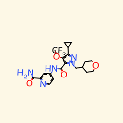 NC(=O)c1cc(NC(=O)c2c(OC(F)(F)F)c(C3CC3)nn2CC2CCOCC2)ccn1